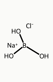 OB(O)O.[Cl-].[Na+]